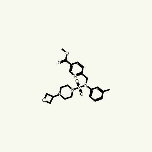 COC(=O)c1ccc(CN(c2cccc(C)c2)S(=O)(=O)N2CCN(C3COC3)CC2)nc1